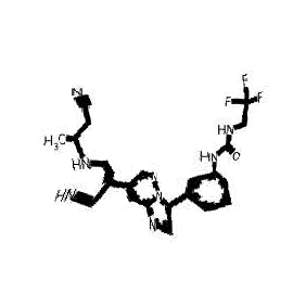 CC(CC#N)N/C=C(\C=N)c1cnn2c(-c3cccc(NC(=O)NCC(F)(F)F)c3)cnc2c1